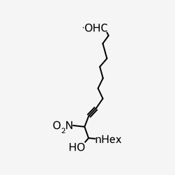 CCCCCCC(O)C(C#CCCCCCCC[C]=O)[N+](=O)[O-]